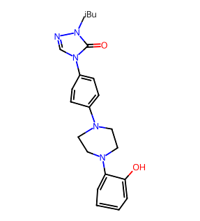 CCC(C)n1ncn(-c2ccc(N3CCN(c4ccccc4O)CC3)cc2)c1=O